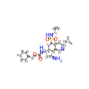 CC(C)CNS(=O)(=O)c1cc2c(c3cnc(C4CC4)cc13)[C@@H](N)C[C@H]2NC(=O)OCc1ccccc1